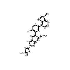 CCn1cnc2c(-c3ccc(F)c(-c4cc5cn(C6CC(F)(F)C6)nc5cc4OC)c3)cnnc21